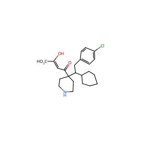 O=C(O)C(O)=CC(=O)C1(C(Cc2ccc(Cl)cc2)C2CCCCC2)CCNCC1